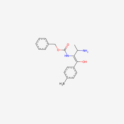 Bc1ccc(/C(O)=C(\NC(=O)OCc2ccccc2)C(C)N)cc1